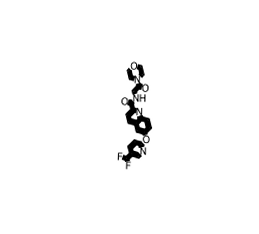 O=C(NCC(=O)N1CCOCC1)c1ccc2cc(Oc3ccc(C(F)F)cn3)ccc2n1